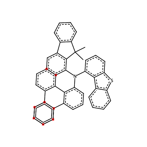 CC1(C)c2ccccc2-c2cccc(N(c3cccc(-c4ccccc4)c3-c3ccccc3-c3ccccc3)c3cccc4sc5ccccc5c34)c21